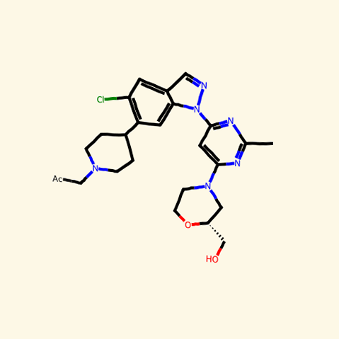 CC(=O)CN1CCC(c2cc3c(cnn3-c3cc(N4CCO[C@@H](CO)C4)nc(C)n3)cc2Cl)CC1